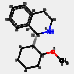 COC1CCCCC1[C@H]1NCCc2ccccc21